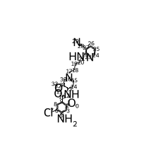 COc1cc(N)c(Cl)cc1C(=O)NC1CCN(CCCCNc2ncccc2C#N)CC1OC